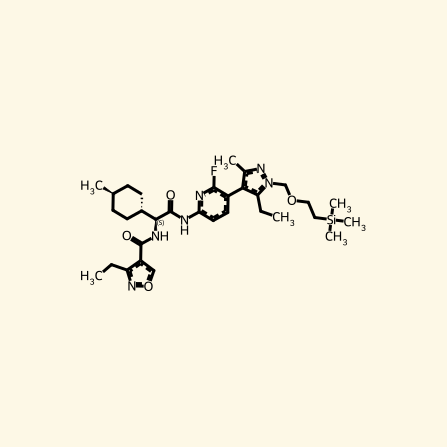 CCc1nocc1C(=O)N[C@H](C(=O)Nc1ccc(-c2c(C)nn(COCC[Si](C)(C)C)c2CC)c(F)n1)[C@H]1CC[C@H](C)CC1